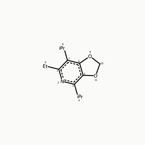 CCc1nc(C(C)C)c2c(c1C(C)C)OCO2